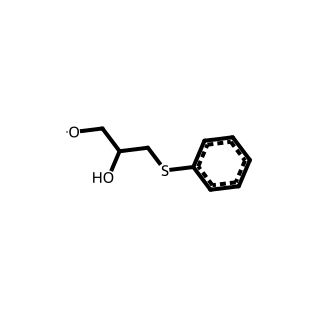 [O]CC(O)CSc1ccccc1